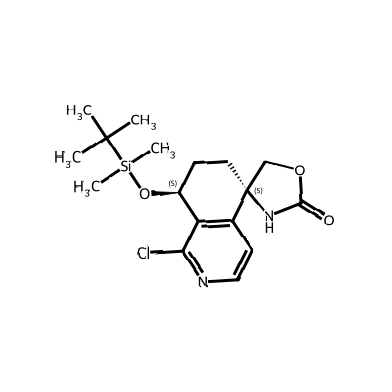 CC(C)(C)[Si](C)(C)O[C@H]1CC[C@@]2(COC(=O)N2)c2ccnc(Cl)c21